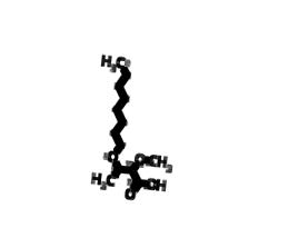 CCCCCCCCOC(C)C(OC)C(=O)O